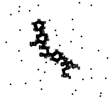 CCOP(=O)(CC)Oc1ccc(C(C=O)CNc2cnc(-c3ccccn3)nc2O)cc1